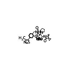 CCCCOc1cc(-c2scnc2C)ccc1CNC(=O)[C@@H]1CCCN1C(=O)[C@@H](NC(=O)C1(F)CC1)C(C)(C)C